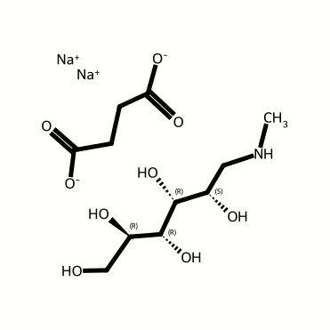 CNC[C@H](O)[C@@H](O)[C@H](O)[C@H](O)CO.O=C([O-])CCC(=O)[O-].[Na+].[Na+]